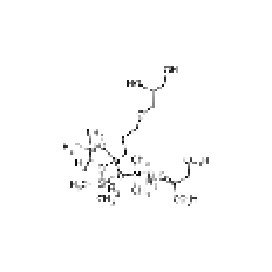 C=C(CC(=O)O)C(=O)O.C[Si](C)(C)O[Si](CCCOCC(O)CO)(O[Si](C)(C)C)O[Si](C)(C)C